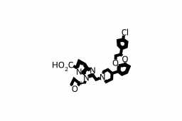 O=C(O)c1ccc2nc(CN3CCC(c4cccc5c4OCC(c4ccc(Cl)cc4)O5)CC3)n(C[C@@H]3CCO3)c2n1